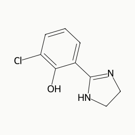 Oc1c(Cl)cccc1C1=NCCN1